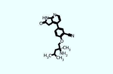 CC(C)C[C@](C)(N)COc1ccc(-c2ccnc3c2CC(=O)N3)cc1C#N